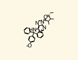 CC[C@H]1O[C@@H](n2cnc3c(NC(c4ccccc4)(c4ccccc4)c4ccc(OC)cc4)ncnc32)C(C)C1C